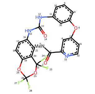 CNC(=O)c1cc(Oc2cccc(NC(=O)Nc3ccc4c(c3)C(F)(F)OC(F)(F)O4)c2)ccn1